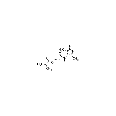 C=C(C)C(=O)OCCC(=O)Nc1c(C)n[nH]c1C